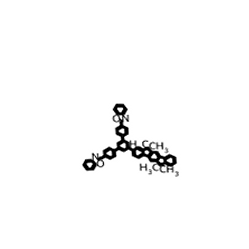 CC1(C)c2ccccc2-c2cc3c(cc21)-c1ccc(-c2cc(-c4ccc(-c5nc6ccccc6o5)cc4)cc(-c4ccc(-c5nc6ccccc6o5)cc4)c2)cc1C3(C)C